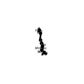 CCc1cc(Nc2ncc(Br)c(Nc3ccc4nccnc4c3P(C)(C)=O)n2)c(OC)cc1N1CCC(N2CCN(CCCCc3cc(F)c(C4CCC(=O)NC4=O)c(F)c3)CC2)CC1